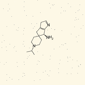 CC(C)N1CCC2(CC1)CC1=C(N=CC1)[C@H]2N